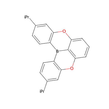 CC(C)c1ccc2c(c1)Oc1cccc3c1B2c1ccc(C(C)C)cc1O3